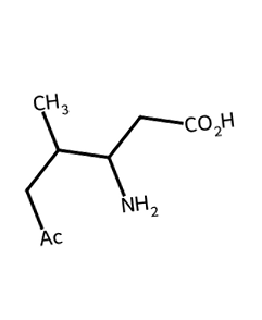 CC(=O)CC(C)C(N)CC(=O)O